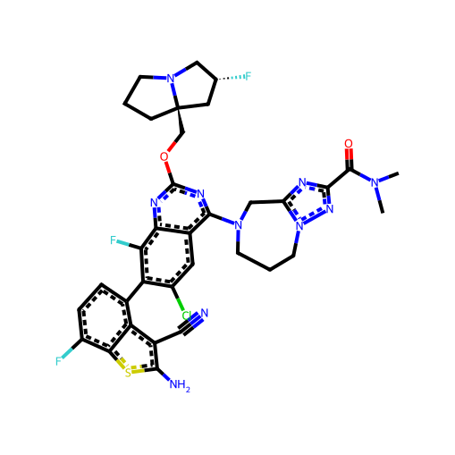 CN(C)C(=O)c1nc2n(n1)CCCN(c1nc(OC[C@@]34CCCN3C[C@H](F)C4)nc3c(F)c(-c4ccc(F)c5sc(N)c(C#N)c45)c(Cl)cc13)C2